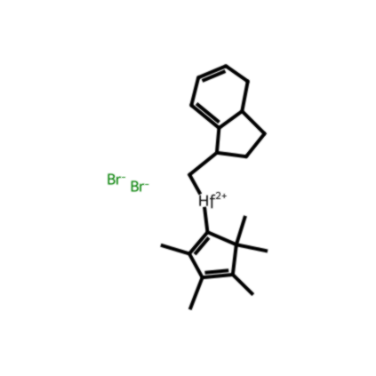 CC1=C(C)C(C)(C)[C]([Hf+2][CH2]C2CCC3CC=CC=C32)=C1C.[Br-].[Br-]